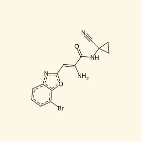 N#CC1(NC(=O)C(N)=Cc2nc3cccc(Br)c3o2)CC1